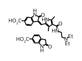 CCN(CC)CCNC(=O)c1c(C)[nH]c(C=C2C(=O)Nc3cc(C(=O)O)ccc32)c1C.O=C1Cc2ccc(C(=O)O)cc2N1